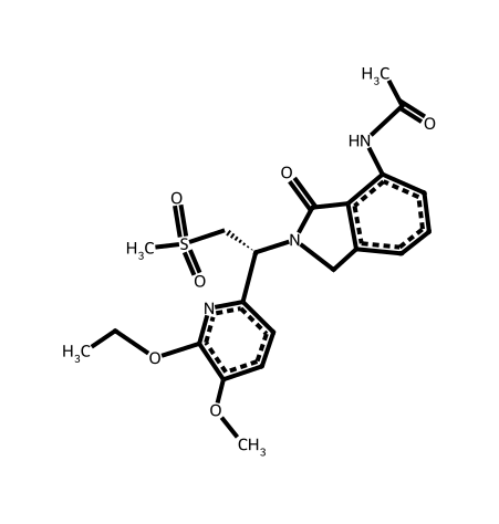 CCOc1nc([C@H](CS(C)(=O)=O)N2Cc3cccc(NC(C)=O)c3C2=O)ccc1OC